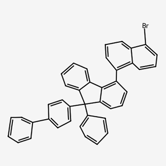 Brc1cccc2c(-c3cccc4c3-c3ccccc3C4(c3ccccc3)c3ccc(-c4ccccc4)cc3)cccc12